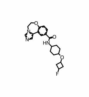 O=C(NC1CCC(OC2CC(F)C2)CC1)c1ccc2c(c1)-c1cncn1CCO2